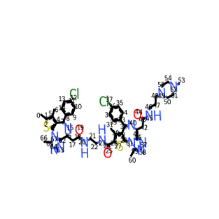 Cc1sc2c(c1C)C(c1ccc(Cl)cc1)=NC(CC(=O)NCCNC(=O)c1sc3c(c1C)C(c1ccc(Cl)cc1)=NC(CC(=O)NCCCN1CCN(C)CC1)c1nnc(C)n1-3)c1nnc(C)n1-2